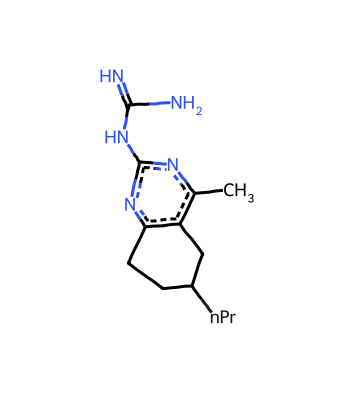 CCCC1CCc2nc(NC(=N)N)nc(C)c2C1